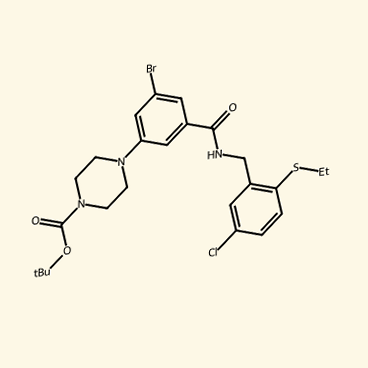 CCSc1ccc(Cl)cc1CNC(=O)c1cc(Br)cc(N2CCN(C(=O)OC(C)(C)C)CC2)c1